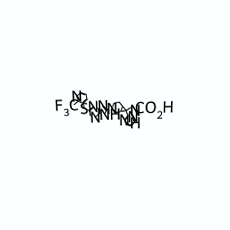 O=C(O)NCC1(c2ncccn2)C2CCN(c3nc4nc(Sc5cccnc5C(F)(F)F)cnc4[nH]3)CC21